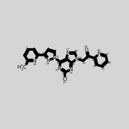 Cc1cccc(-c2ccn(-c3nc(Cl)nc4c3ncn4CC(=O)c3ccccn3)n2)n1